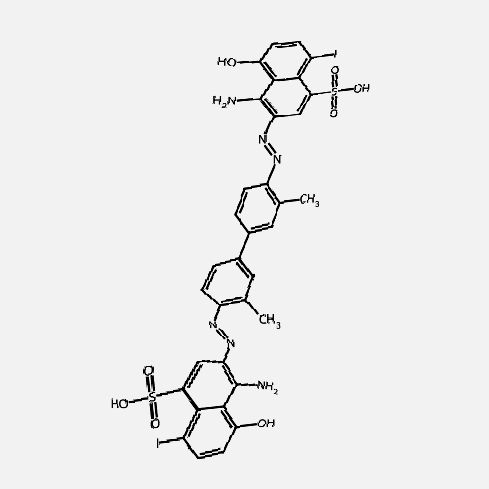 Cc1cc(-c2ccc(/N=N/c3cc(S(=O)(=O)O)c4c(I)ccc(O)c4c3N)c(C)c2)ccc1/N=N/c1cc(S(=O)(=O)O)c2c(I)ccc(O)c2c1N